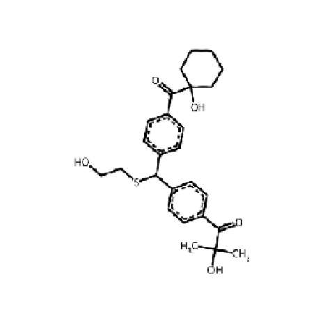 CC(C)(O)C(=O)c1ccc(C(SCCO)c2ccc(C(=O)C3(O)CCCCC3)cc2)cc1